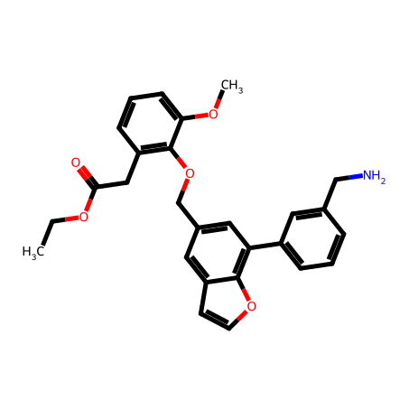 CCOC(=O)Cc1cccc(OC)c1OCc1cc(-c2cccc(CN)c2)c2occc2c1